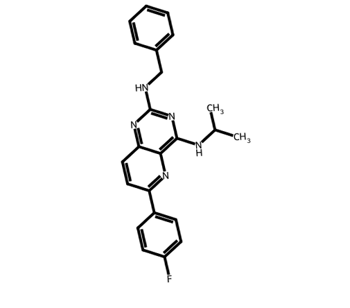 CC(C)Nc1nc(NCc2ccccc2)nc2ccc(-c3ccc(F)cc3)nc12